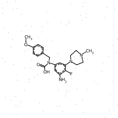 COc1ccc(CN(C(=O)O)c2cc(N)c(F)c(N3CCN(C)CC3)c2)cc1